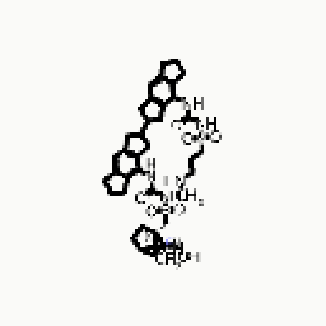 CNCCCS(=O)(=O)NC(=O)Nc1c2c(cc3c1CC(C1Cc4cc5c(c(NC(=O)NS(=O)(=O)C[C@]67CCC(C/C6=N\O)C7(C)C)c4C1)CCC5)C3)CCC2